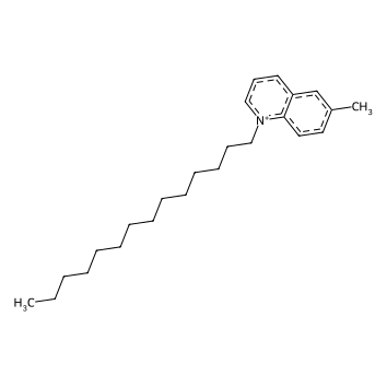 CCCCCCCCCCCCCC[n+]1cccc2cc(C)ccc21